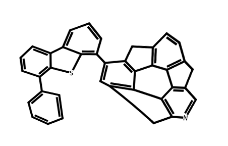 c1ccc(-c2cccc3c2sc2c(-c4cc5c6c7c(ncc8c7c7c(ccc9c7c6c4C9)C8)C5)cccc23)cc1